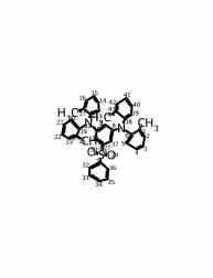 Cc1ccccc1N(c1cc(N(c2ccccc2C)c2ccccc2C)cc(S(=O)(=O)c2ccccc2)c1)c1ccccc1C